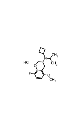 COc1ccc(F)c2c1CC(N(C(C)C)C1CCC1)CO2.Cl